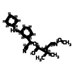 CON=CC1C(C(=O)OC(C#N)c2cccc(Nc3ccccc3)c2)C1(C)C